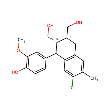 COc1cc(C2c3cc(Cl)c(C)cc3C[C@H](CO)[C@H]2CO)ccc1O